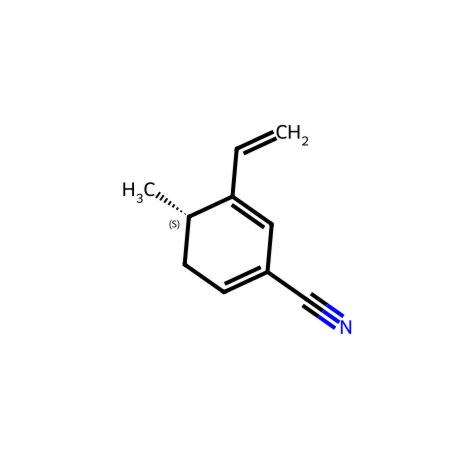 C=CC1=CC(C#N)=CC[C@@H]1C